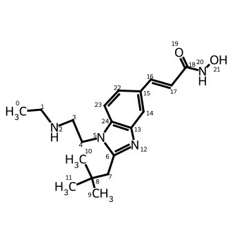 CCNCCn1c(CC(C)(C)C)nc2cc(C=CC(=O)NO)ccc21